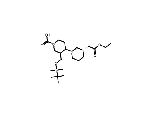 CCOC(=O)C[C@@H]1CCCN(C2CCN(C(=O)O)CC2CO[Si](C)(C)C(C)(C)C)C1